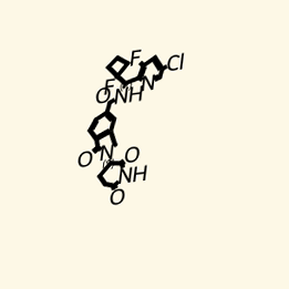 O=C1CC[C@H](N2Cc3cc(C(=O)N[C@H](c4ncc(Cl)cc4F)C4(F)CCC4)ccc3C2=O)C(=O)N1